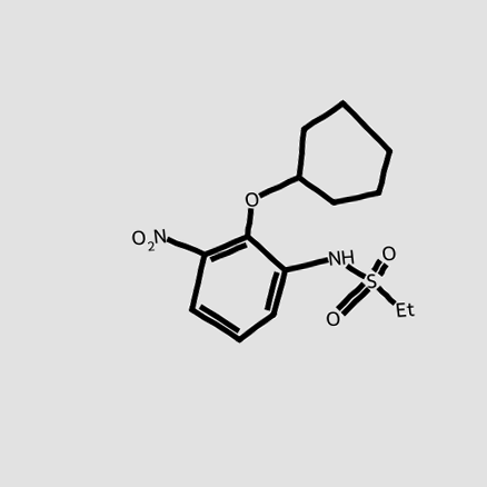 CCS(=O)(=O)Nc1cccc([N+](=O)[O-])c1OC1CCCCC1